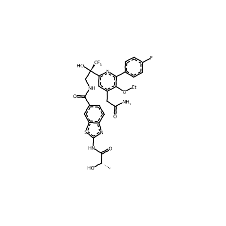 CCOc1c(CC(N)=O)cc([C@@](O)(CNC(=O)c2ccc3nc(NC(=O)[C@H](C)O)sc3c2)C(F)(F)F)nc1-c1ccc(F)cc1